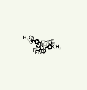 COC(=O)c1ccc([C@H](C)NC(=O)c2c(C(F)(F)F)nn3c2N(Cc2ccc(C)c(C(F)(F)F)c2)CC3)cc1